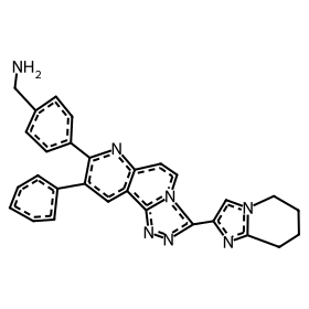 NCc1ccc(-c2nc3ccn4c(-c5cn6c(n5)CCCC6)nnc4c3cc2-c2ccccc2)cc1